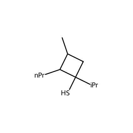 CCCC1C(C)CC1(S)C(C)C